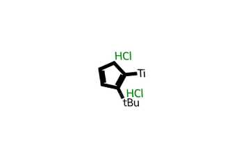 CC(C)(C)C1=[C]([Ti])CC=C1.Cl.Cl